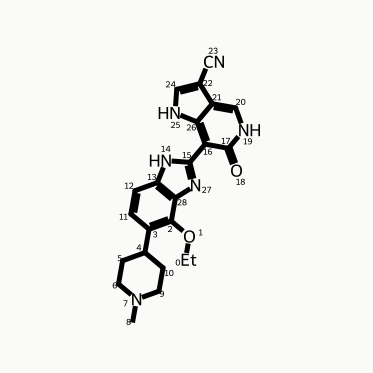 CCOc1c(C2CCN(C)CC2)ccc2[nH]c(-c3c(=O)[nH]cc4c(C#N)c[nH]c34)nc12